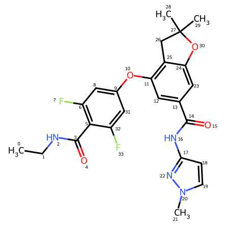 CCNC(=O)c1c(F)cc(Oc2cc(C(=O)Nc3ccn(C)n3)cc3c2CC(C)(C)O3)cc1F